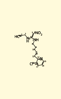 C#CCN/C(=C/[N+](=O)[O-])NCCCSCc1ncccc1Cl